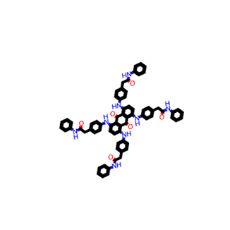 O=C(Cc1ccc(Nc2ccc(Nc3ccc(CC(=O)Nc4ccccc4)cc3)c3c2C(=O)c2c(Nc4ccc(CC(=O)Nc5ccccc5)cc4)ccc(Nc4ccc(CC(=O)Nc5ccccc5)cc4)c2C3=O)cc1)Nc1ccccc1